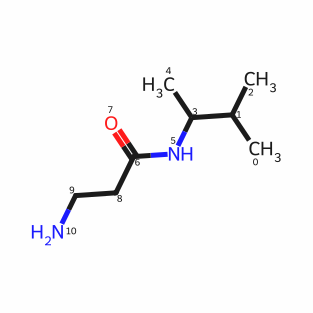 CC(C)C(C)NC(=O)CCN